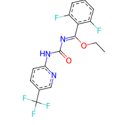 CCOC(=NC(=O)Nc1ccc(C(F)(F)F)cn1)c1c(F)cccc1F